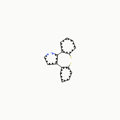 c1ccc2c(c1)Sc1ccccc1-c1[nH]ccc1-2